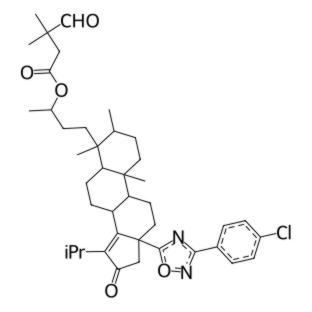 CC(CCC1(C)C(C)CCC2(C)C3CCC4(c5nc(-c6ccc(Cl)cc6)no5)CC(=O)C(C(C)C)=C4C3CCC12)OC(=O)CC(C)(C)C=O